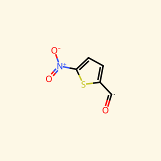 O=[C]c1ccc([N+](=O)[O-])s1